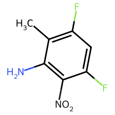 Cc1c(F)cc(F)c([N+](=O)[O-])c1N